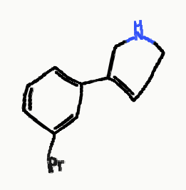 CC(C)c1cccc(C2=CCCNC2)c1